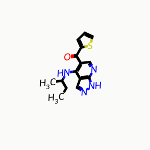 CCC(C)Nc1c(C(=O)c2cccs2)cnc2[nH]ncc12